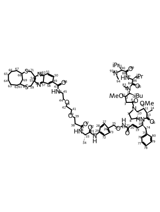 CC[C@H](C)[C@@H]([C@@H](CC(=O)N1CCC[C@H]1[C@H](OC)[C@@H](C)C(=O)N[C@H](/C=C/C(=O)NOCc1ccc(NC(=O)[C@H](C)NC(=O)CCOCCOCCNC(=O)c2ccc3nc4c(nc3c2)CSC2CCCCCCC(C2)SC4)cc1)Cc1ccccc1)OC)N(C)C(=O)[C@@H](NC(=O)[C@H](C(C)C)N(C)C)C(C)C